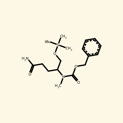 CN(C(=O)OCc1ccccc1)C(CCC(N)=O)CO[Si](C)(C)C(C)(C)C